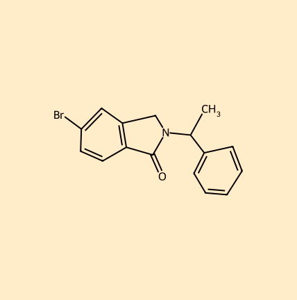 CC(c1ccccc1)N1Cc2cc(Br)ccc2C1=O